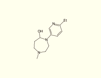 CCc1ccc(N2CCN(C)CCC2O)cn1